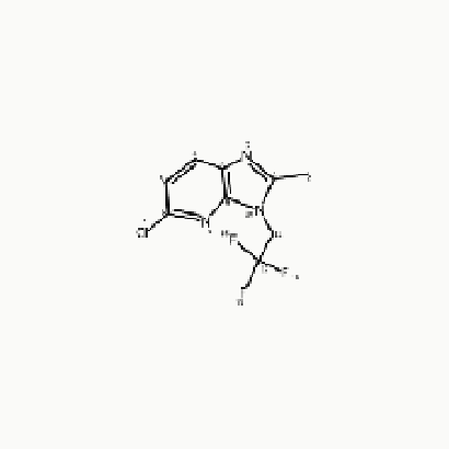 Cc1nc2ccc(Cl)nc2n1CC(F)(F)F